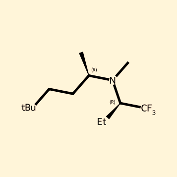 CC[C@@H](N(C)[C@H](C)CCC(C)(C)C)C(F)(F)F